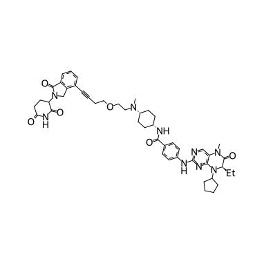 CC[C@@H]1C(=O)N(C)c2cnc(Nc3ccc(C(=O)N[C@H]4CC[C@@H](N(C)CCOCCC#Cc5cccc6c5CN(C5CCC(=O)NC5=O)C6=O)CC4)cc3)nc2N1C1CCCC1